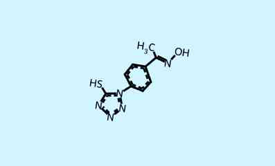 C/C(=N\O)c1ccc(-n2nnnc2S)cc1